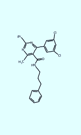 Cc1nc(C(C)C)nc(-c2cc(Cl)cc(Cl)c2)c1C(=O)NCCCc1ccccc1